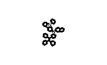 c1ccc(C(=C(c2ccccc2)c2cccc(N(c3ccc4ccccc4c3)c3ccc4c5ccccc5n(-c5ccccc5)c4c3)c2)c2ccccc2)cc1